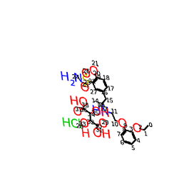 CCOc1ccccc1OCCN[C@H](C)Cc1ccc(OC)c(S(N)(=O)=O)c1.Cl.O=C(O)C(O)C(O)C(=O)O